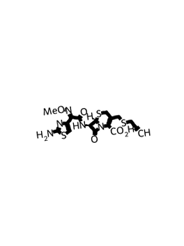 C#CCSCC1=C(C(=O)O)N2C(=O)[C@@H](NC(=O)/C(=N/OC)c3csc(N)n3)[C@H]2SC1